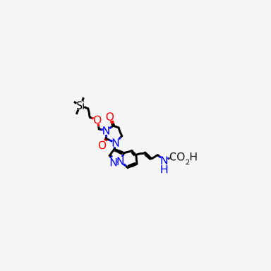 C[Si](C)(C)CCOCN1C(=O)CCN(c2cnn3ccc(/C=C/CNC(=O)O)cc23)C1=O